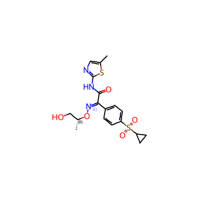 Cc1cnc(NC(=O)/C(=N/O[C@H](C)CO)c2ccc(S(=O)(=O)C3CC3)cc2)s1